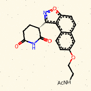 CC(=O)NCCOc1ccc2c(ccc3onc([C@H]4CCC(=O)NC4=O)c32)c1